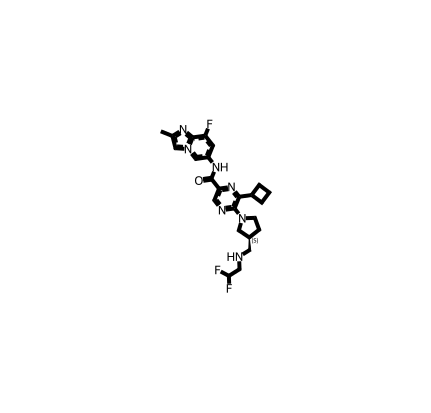 Cc1cn2cc(NC(=O)c3cnc(N4CC[C@@H](CNCC(F)F)C4)c(C4CCC4)n3)cc(F)c2n1